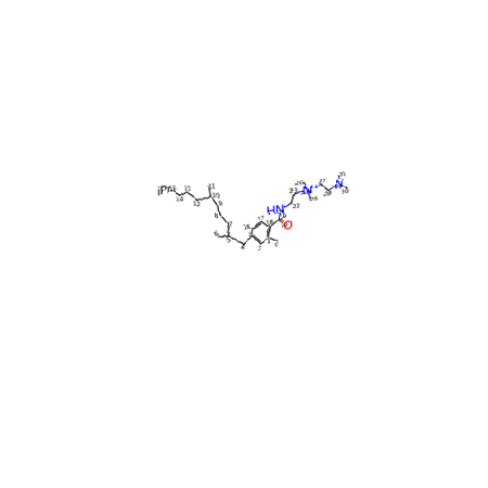 Cc1cc(CC(C)CCCC(C)CCCC(C)C)ccc1C(=O)NCC[N+](C)(C)CCN(C)C